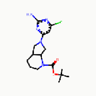 CC(C)(C)OC(=O)N1CCCC2CN(c3cc(Cl)nc(N)n3)CC21